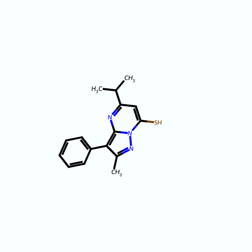 Cc1nn2c(S)cc(C(C)C)nc2c1-c1ccccc1